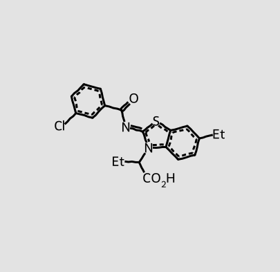 CCc1ccc2c(c1)sc(=NC(=O)c1cccc(Cl)c1)n2C(CC)C(=O)O